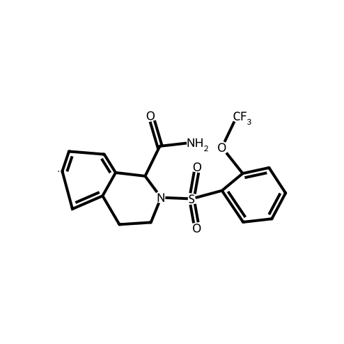 NC(=O)C1c2cc[c]cc2CCN1S(=O)(=O)c1ccccc1OC(F)(F)F